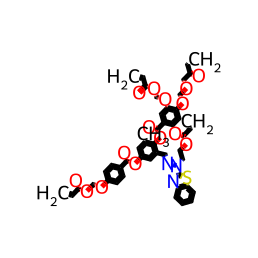 C=CC(=O)COCOc1ccc(C(=O)Oc2c(C)cc(OC(=O)c3ccc(OCOC(=O)C=C)cc3)cc2/C=N/N(CCOC(=O)C=C)c2nc3ccccc3s2)cc1OCOC(=O)C=C